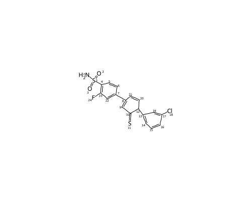 NS(=O)(=O)c1ccc(C2=CC(=S)C(c3cccc(Cl)c3)C=C2)cc1F